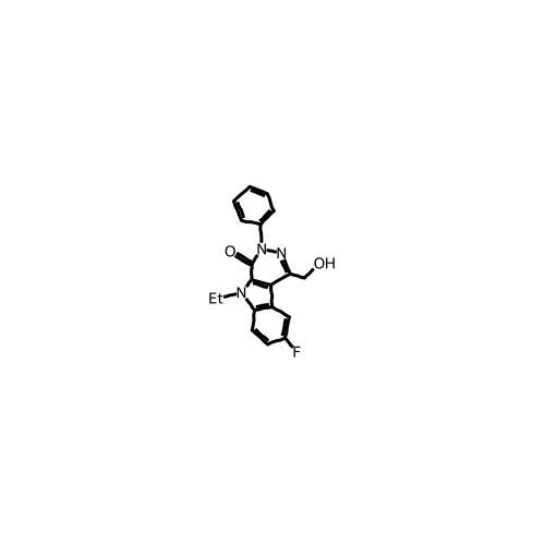 CCn1c2ccc(F)cc2c2c(CO)nn(-c3ccccc3)c(=O)c21